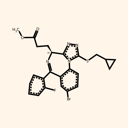 COC(=O)CC[C@@H]1N=C(c2ccccc2F)c2cc(Br)ccc2-n2c(SCC3CC3)nnc21